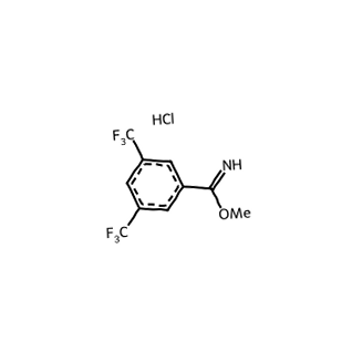 COC(=N)c1cc(C(F)(F)F)cc(C(F)(F)F)c1.Cl